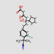 CC(C)(C#N)c1ccc(CC[C@@](O)(CC(=O)CC(=O)O)C2CCCC2)cc1F